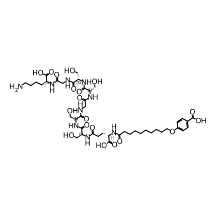 NCCCC[C@H](NC(=O)CNC(=O)[C@H](CO)NC(=O)[C@H](CO)NC(=O)CNC(=O)[C@H](CO)NC(=O)[C@H](CO)NC(=O)CC[C@H](NC(=O)CCCCCCCCCOc1ccc(C(=O)O)cc1)C(=O)O)C(=O)O